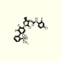 CP(C)(=O)c1ccccc1-c1ccc(N2CC3(CC3)[C@@H](NC(=O)Nc3ccc(Cl)cc3F)C2=O)c(F)c1F